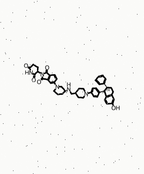 O=C1CCC(N2C(=O)c3ccc(N4CCC[C@@H](NCC5CCN(c6ccc([C@@H]7c8ccc(O)cc8CC[C@@H]7c7ccccc7)cc6)CC5)C4)cc3C2=O)C(=O)N1